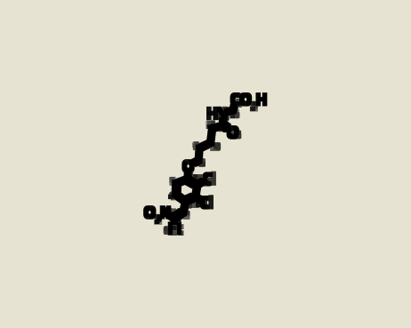 CCC(=Cc1ccc(OCCCCC(=O)NCC(=O)O)c(Cl)c1Cl)[N+](=O)[O-]